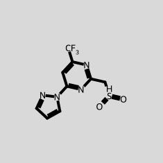 O=[SH](=O)Cc1nc(-n2cccn2)cc(C(F)(F)F)n1